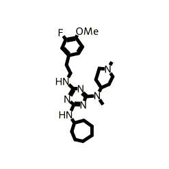 COc1ccc(CCNc2nc(NC3CCCCCC3)nc(N(C)C3CCN(C)CC3)n2)cc1F